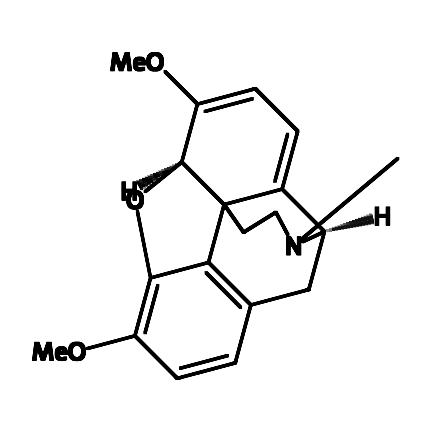 COC1=CC=C2[C@H]3Cc4ccc(OC)c5c4C2(CCN3C)[C@H]1O5